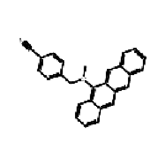 C[S+](Cc1ccc(C#N)cc1)c1c2ccccc2cc2cc3ccccc3cc12